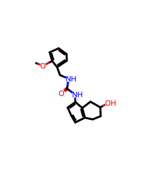 COc1ccccc1CNC(=O)Nc1cccc2c1CC(O)CC2